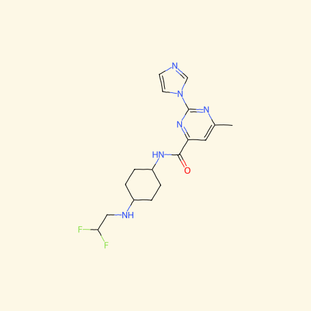 Cc1cc(C(=O)NC2CCC(NCC(F)F)CC2)nc(-n2ccnc2)n1